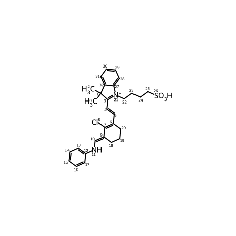 CC1(C)C(/C=C/C2=C(Cl)C(=C/Nc3ccccc3)/CCC2)=[N+](CCCCS(=O)(=O)O)c2ccccc21